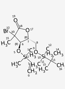 C=C[Si](C)(C)O[C@@H]1[C@@H](CO[Si](C)(C)C(C)(C)C)OC(=O)C1(C)Br